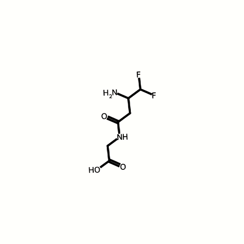 NC(CC(=O)NCC(=O)O)C(F)F